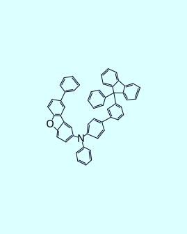 c1ccc(-c2ccc3oc4ccc(N(c5ccccc5)c5ccc(-c6cccc(C7(c8ccccc8)c8ccccc8-c8ccccc87)c6)cc5)cc4c3c2)cc1